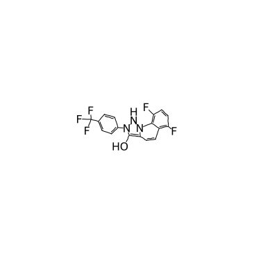 OC1=C2C=Cc3c(F)ccc(F)c3N2NN1c1ccc(C(F)(F)F)cc1